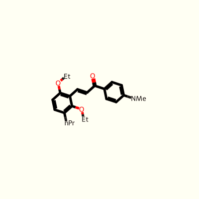 CCCc1ccc(OCC)c(C=CC(=O)c2ccc(NC)cc2)c1OCC